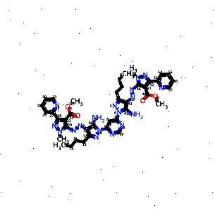 CCCCc1nn(-c2cc(-n3nc(CCCC)c(/N=N/c4c(C(=O)OC)c(-c5ccccn5)nn4C)c3N)ncn2)c(N)c1/N=N/c1c(C(=O)OC)c(-c2ccccn2)nn1C